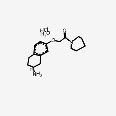 Cl.N[C@H]1CCc2ccc(OCC(=O)N3CCCCC3)cc2C1.O